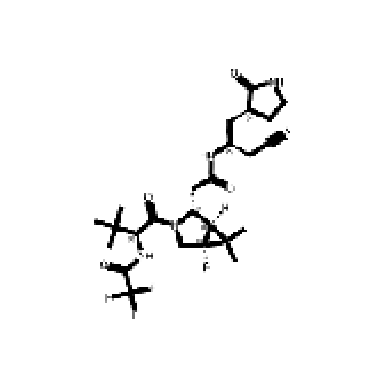 CC(C)(C)[C@H](NC(=O)C(F)(F)F)C(=O)N1C[C@H]2[C@@H]([C@H]1CC(=O)N[C@H](CC#N)C[C@@H]1CCNC1=O)C2(C)C